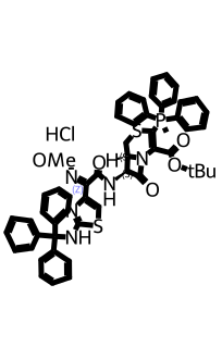 CO/N=C(\C(=O)N[C@@H]1C(=O)N2C(C(=O)OC(C)(C)C)=C(P(C)(c3ccccc3)(c3ccccc3)c3ccccc3)SC[C@H]12)c1csc(NC(c2ccccc2)(c2ccccc2)c2ccccc2)n1.Cl